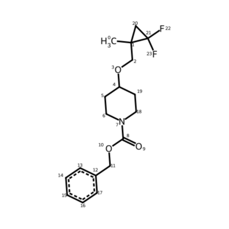 CC1(COC2CCN(C(=O)OCc3ccccc3)CC2)CC1(F)F